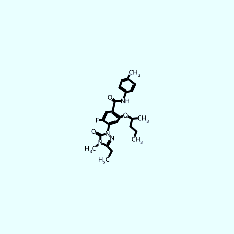 CCCC(C)Oc1cc(-n2nc(CC)n(C)c2=O)c(F)cc1C(=O)Nc1ccc(C)cc1